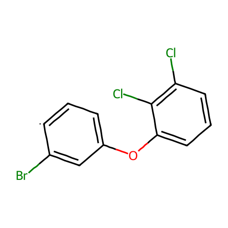 Clc1cccc(Oc2cc[c]c(Br)c2)c1Cl